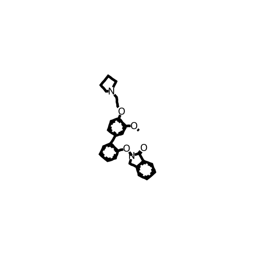 COc1cc(-c2ccccc2ON2Cc3ccccc3C2=O)ccc1OCCN1CCCC1